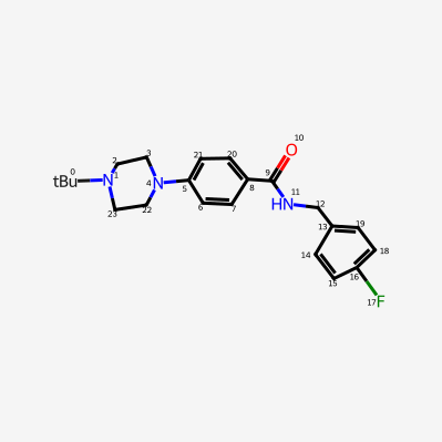 CC(C)(C)N1CCN(c2ccc(C(=O)NCc3ccc(F)cc3)cc2)CC1